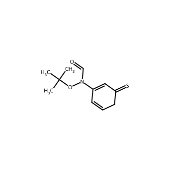 CC(C)(C)ON(C=O)C1=CC(=S)CC=C1